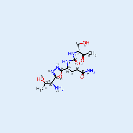 CC(=O)[C@H](CO)NC(=O)N[C@@H](CCC(N)=O)c1nnc([C@@H](N)C(C)O)o1